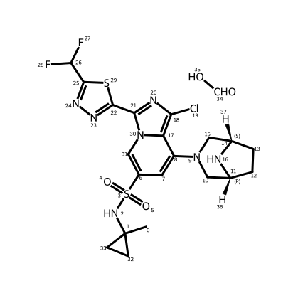 CC1(NS(=O)(=O)c2cc(N3C[C@H]4CC[C@@H](C3)N4)c3c(Cl)nc(-c4nnc(C(F)F)s4)n3c2)CC1.O=CO